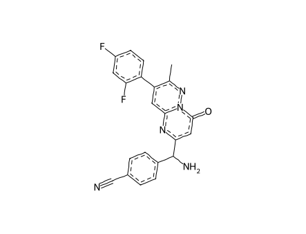 Cc1nn2c(=O)cc(C(N)c3ccc(C#N)cc3)nc2cc1-c1ccc(F)cc1F